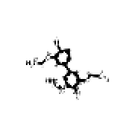 N=C=O.[2H]c1ccc(-c2ccc([2H])c(OCC)c2)cc1OCC